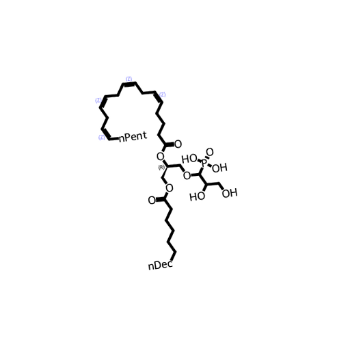 CCCCC/C=C\C/C=C\C/C=C\C/C=C\CCCC(=O)O[C@H](COC(=O)CCCCCCCCCCCCCCC)COC(C(O)CO)P(=O)(O)O